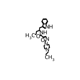 CCCC(Cc1c[nH]c2ccccc12)NC(=O)c1cnc(N2CCN(CCC)CC2)o1